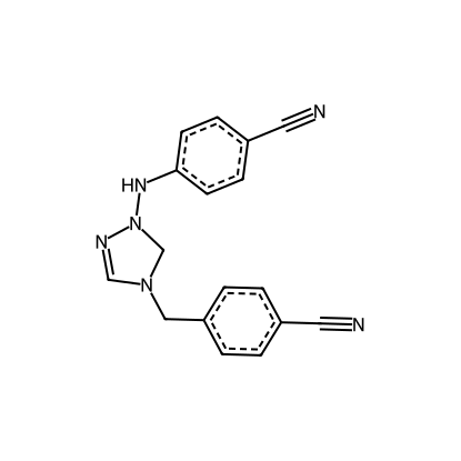 N#Cc1ccc(CN2C=NN(Nc3ccc(C#N)cc3)C2)cc1